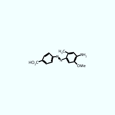 COc1cc(N=Nc2ccc(C(=O)O)cc2)c(C)cc1N